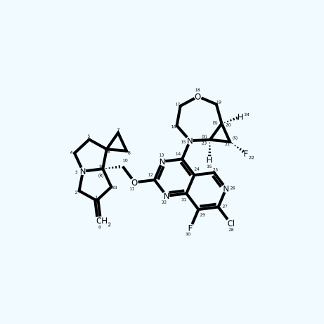 C=C1CN2CCC3(CC3)[C@@]2(COc2nc(N3CCOC[C@H]4[C@H](F)[C@H]43)c3cnc(Cl)c(F)c3n2)C1